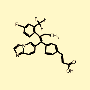 CCC(=C(c1ccc(C=CC(=O)O)cc1)c1ccc2nccn2c1)c1ccc(F)cc1C(F)(F)F